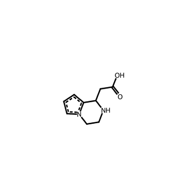 O=C(O)CC1NCCn2cccc21